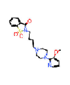 COc1cccnc1N1CCN(CCCCN2C(=O)c3ccccc3S2(=O)=O)CC1